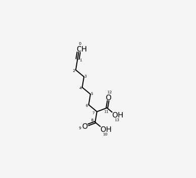 C#CCCCCCC(C(=O)O)C(=O)O